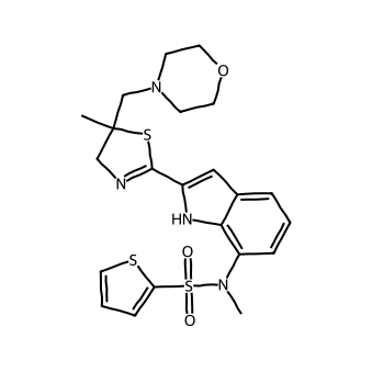 CN(c1cccc2cc(C3=NCC(C)(CN4CCOCC4)S3)[nH]c12)S(=O)(=O)c1cccs1